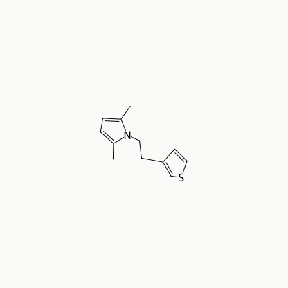 Cc1ccc(C)n1CCc1ccsc1